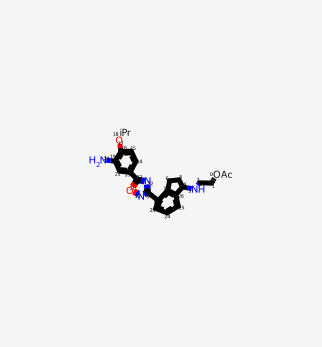 CC(=O)OCCNC1CCc2c(-c3noc(-c4ccc(OC(C)C)c(N)c4)n3)cccc21